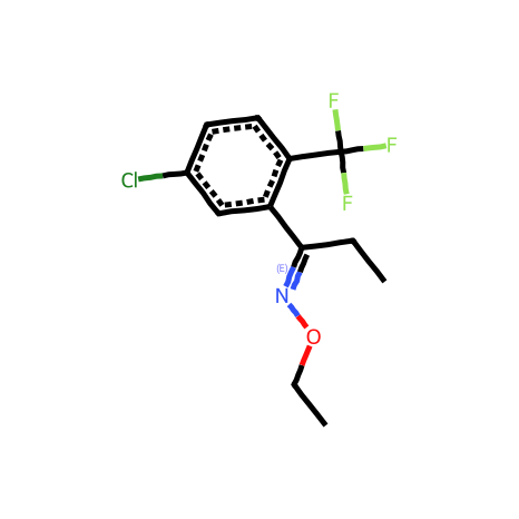 CCO/N=C(\CC)c1cc(Cl)ccc1C(F)(F)F